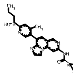 CCC[C@@H](O)c1cc(C)c(-c2cc3cnc(NC(=O)[C@H]4C[C@H]4F)cc3n3ccnc23)cn1